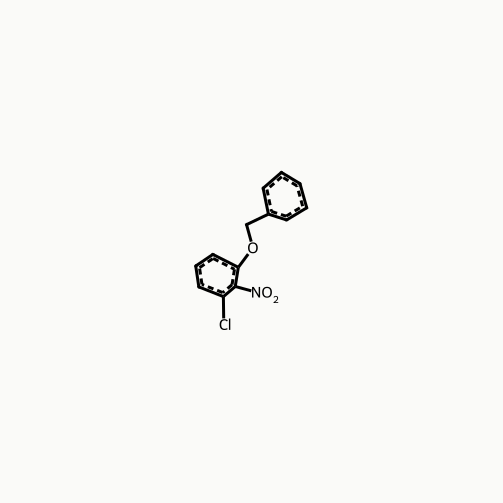 O=[N+]([O-])c1c(Cl)cccc1OCc1ccccc1